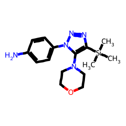 C[Si](C)(C)c1nnn(-c2ccc(N)cc2)c1N1CCOCC1